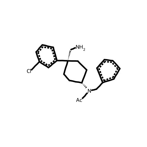 CC(=O)N(Cc1ccccc1)[C@H]1CC[C@](CN)(c2cccc(Cl)c2)CC1